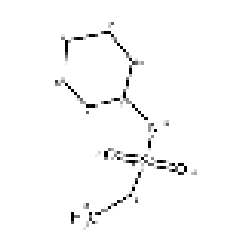 CCS(=O)(=O)[N]C1CCCCC1